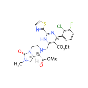 CCOC(=O)C1=C(CN2CCN3C(=O)N(C)C[C@@H]3[C@H]2C(=O)OC)NC(c2nccs2)=N[C@H]1c1cccc(F)c1Cl